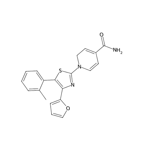 Cc1ccccc1-c1sc(N2C=CC(C(N)=O)=CC2)nc1-c1ccco1